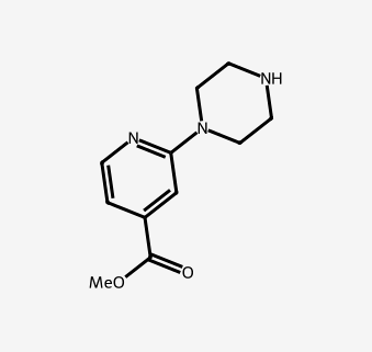 COC(=O)c1ccnc(N2CCNCC2)c1